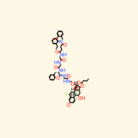 C=Cc1ccccc1CN(C(=O)CCC(=O)NCC(=O)NCC(=O)N[C@@H](Cc1ccccc1)C(=O)NCC(=O)NCOCC(=O)[C@@]12OC(CCC)O[C@@H]1C[C@H]1[C@@H]3C[C@H](F)C4=CC(=O)C=C[C@]4(C)[C@@]3(F)[C@@H](O)C[C@@]12C)c1ccccc1CC